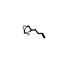 C=CC[CH]C1COCS1